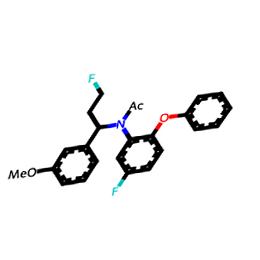 COc1cccc(C(CCF)N(C(C)=O)c2cc(F)ccc2Oc2ccccc2)c1